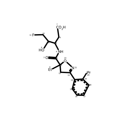 CCC1(C(=O)NC(CC(=O)O)C(O)CF)CC(c2ccccc2C(C)C)=NO1